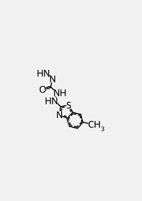 Cc1ccc2nc(NNC(=O)N=N)sc2c1